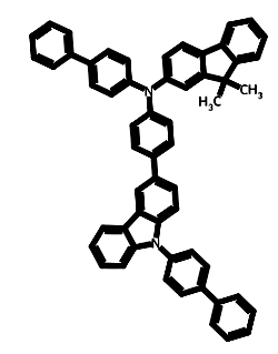 CC1(C)c2ccccc2-c2ccc(N(c3ccc(-c4ccccc4)cc3)c3ccc(-c4ccc5c(c4)c4ccccc4n5-c4ccc(-c5ccccc5)cc4)cc3)cc21